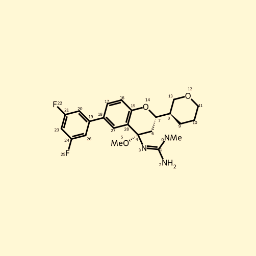 CN/C(N)=N\[C@]1(OC)C[C@@H]([C@@H]2CCCOC2)Oc2ccc(-c3cc(F)cc(F)c3)cc21